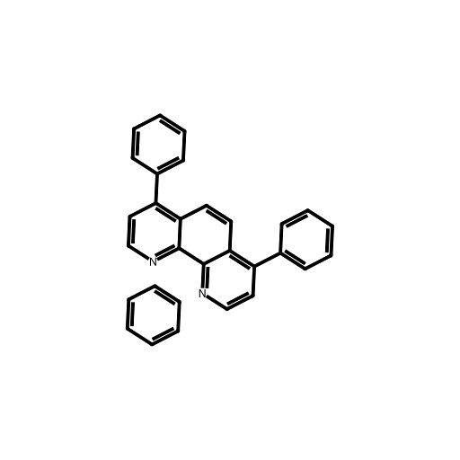 c1ccc(-c2ccnc3c2ccc2c(-c4ccccc4)ccnc23)cc1.c1ccccc1